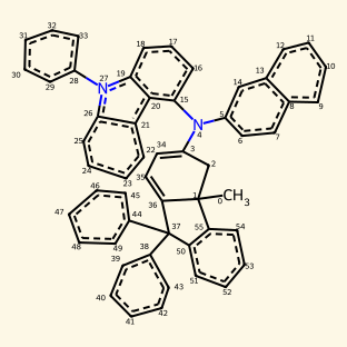 CC12CC(N(c3ccc4ccccc4c3)c3cccc4c3c3ccccc3n4-c3ccccc3)=CC=C1C(c1ccccc1)(c1ccccc1)c1ccccc12